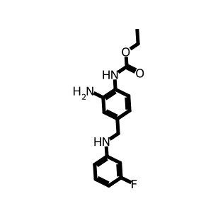 CCOC(=O)Nc1ccc(CNc2cccc(F)c2)cc1N